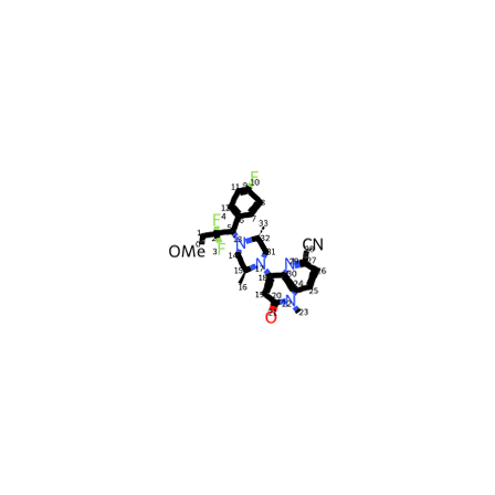 COCC(F)(F)C(c1ccc(F)cc1)N1C[C@H](C)N(c2cc(=O)n(C)c3ccc(C#N)nc23)C[C@H]1C